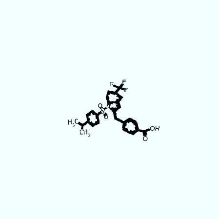 CC(C)c1ccc(S(=O)(=O)n2c(Cc3ccc(C(=O)O)cc3)cc3cc(C(F)(F)F)ccc32)cc1